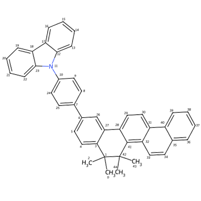 CC1(C)c2ccc(-c3ccc(-n4c5ccccc5c5ccccc54)cc3)cc2-c2ccc3c(ccc4ccccc43)c2C1(C)C